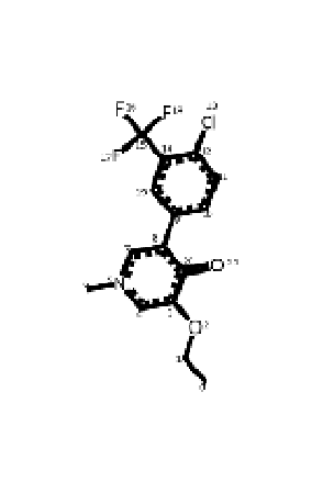 CCOc1cn(C)cc(-c2ccc(Cl)c(C(F)(F)F)c2)c1=O